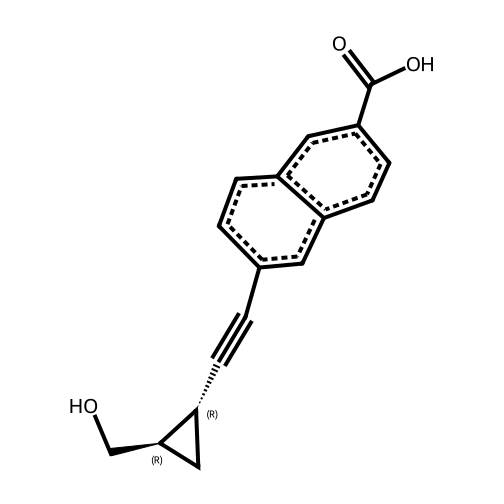 O=C(O)c1ccc2cc(C#C[C@@H]3C[C@H]3CO)ccc2c1